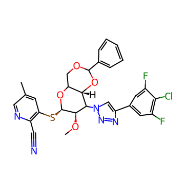 CO[C@@H]1C(n2cc(-c3cc(F)c(Cl)c(F)c3)nn2)[C@H]2OC(c3ccccc3)OCC2O[C@@H]1Sc1cc(C)cnc1C#N